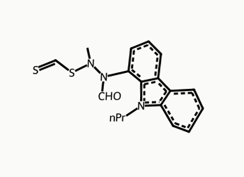 CCCn1c2ccccc2c2cccc(N(C=O)N(C)SC=S)c21